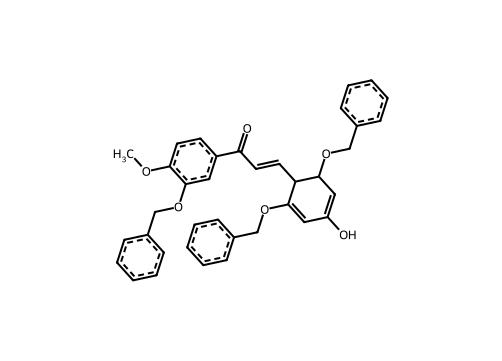 COc1ccc(C(=O)C=CC2C(OCc3ccccc3)=CC(O)=CC2OCc2ccccc2)cc1OCc1ccccc1